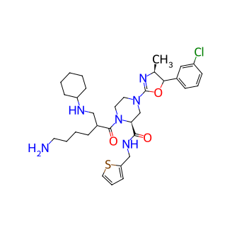 C[C@@H]1N=C(N2CCN(C(=O)C(CCCCN)CNC3CCCCC3)[C@H](C(=O)NCc3cccs3)C2)OC1c1cccc(Cl)c1